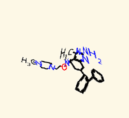 Cc1nc(N)nc2c1/C(=N/OCCN1CCN(C)CC1)CC(c1ccccc1-c1ccccc1)C2